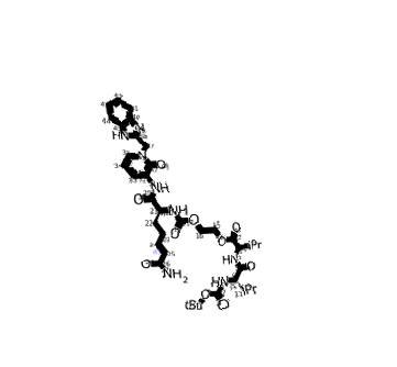 CC(C)C(NC(=O)[C@@H](NC(=O)OC(C)(C)C)C(C)C)C(=O)OCCOC(=O)N[C@@H](CC/C=C/C(N)=O)C(=O)Nc1cccn(Cc2nc3ccccc3[nH]2)c1=O